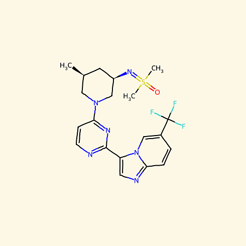 C[C@H]1C[C@@H](N=S(C)(C)=O)CN(c2ccnc(-c3cnc4ccc(C(F)(F)F)cn34)n2)C1